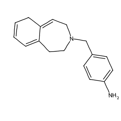 Nc1ccc(CN2CC=C3CC=CC=C3CC2)cc1